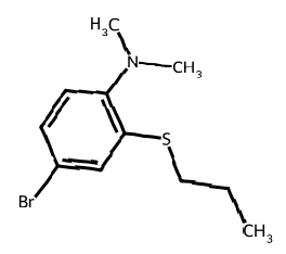 CCCSc1cc(Br)ccc1N(C)C